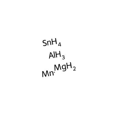 [AlH3].[MgH2].[Mn].[SnH4]